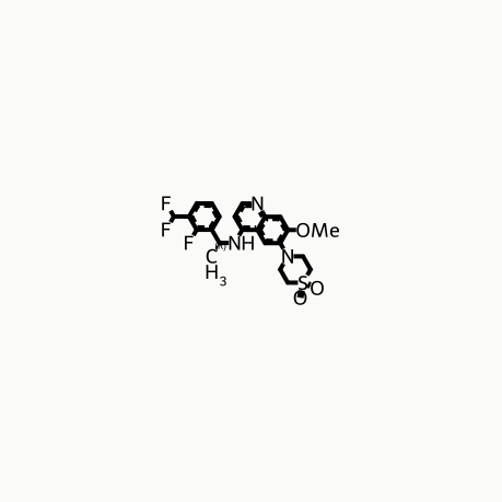 COc1cc2nccc(N[C@H](C)c3cccc(C(F)F)c3F)c2cc1N1CCS(=O)(=O)CC1